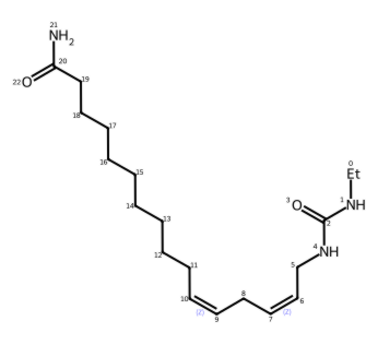 CCNC(=O)NC/C=C\C/C=C\CCCCCCCCCC(N)=O